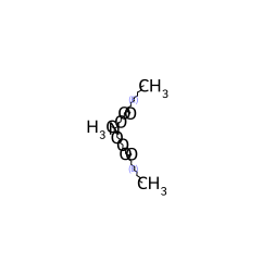 CCCCC/C=C/CCCC(=O)OCCOCCOCCN(C)CCOCCOC(=O)CCC/C=C/CCCCC